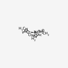 C=CC(=O)N1CC[C@H](n2nc(C#Cc3cc4nc(C)n(C5CC5)c4cc3Cl)c3c(N)ncc(C(C)=O)c32)C1